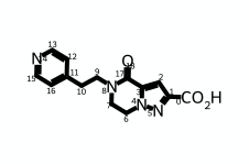 O=C(O)c1cc2n(n1)CCN(CCc1ccncc1)C2=O